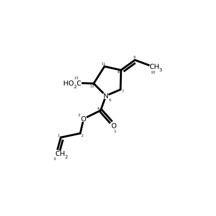 C=CCOC(=O)N1CC(=CC)CC1C(=O)O